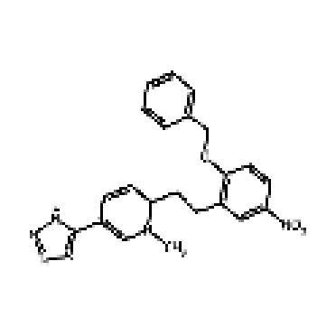 CN1C=C(c2nnn[nH]2)C=CC1CCc1cc([N+](=O)[O-])ccc1OCc1ccccc1